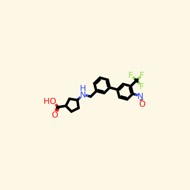 O=Nc1ccc(-c2cccc(CNC3CCC(C(=O)O)C3)c2)cc1C(F)(F)F